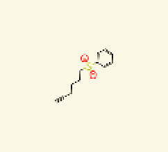 C#CCCCCS(=O)(=O)c1ccccc1